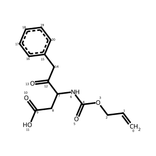 C=CCOC(=O)NC(CC(=O)O)C(=O)Cc1ccccc1